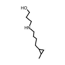 CC1CC1CCCCNCCCO